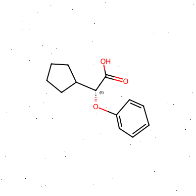 O=C(O)[C@H](Oc1ccccc1)C1CCCC1